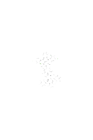 Fc1ccc(-c2c3c(c(-c4ccc(F)cc4F)c4ccccc24)-c2ccc4c5ccc6c7c(ccc(c8ccc-3c2c84)c75)-c2c-6c(-c3ccccc3)c3ccccc3c2-c2ccccc2)c(F)c1